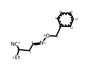 CCC(C#N)CC=NOCc1ccccc1